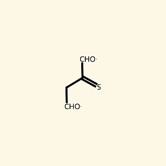 O=[C]CC(=S)[C]=O